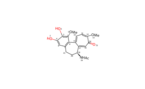 COc1c(O)c(O)cc2c1-c1ccc(OC)c(=O)cc1[C@@H](NC(C)=O)CC2